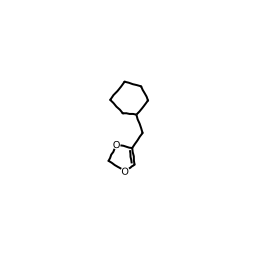 C1=C(CC2CCCCC2)OCO1